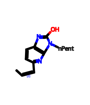 C/C=C\c1ccc2nc(O)n(CCCCC)c2n1